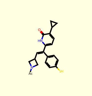 CC(=O)N1CC(/C=C(\c2ccc(S)cc2)c2ccc(C3CC3)c(=O)[nH]2)C1